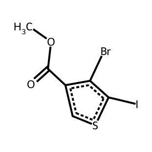 COC(=O)c1csc(I)c1Br